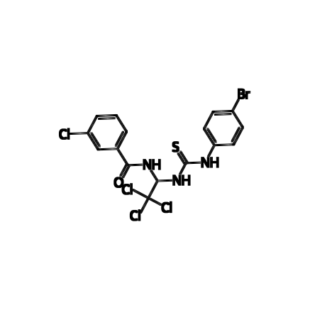 O=C(NC(NC(=S)Nc1ccc(Br)cc1)C(Cl)(Cl)Cl)c1cccc(Cl)c1